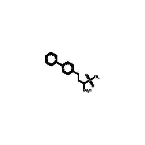 CS(=O)(=O)C(CCc1ccc(-c2ccccc2)cc1)C(=O)O